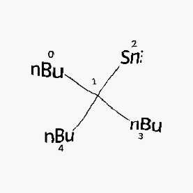 CCCC[C]([Sn])(CCCC)CCCC